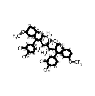 Cc1nc2ccc(OC(F)(F)F)cc2c(-c2ccc(Cl)c(Cl)c2)c1C(C)C(=O)C(C)c1c(C)nc2ccc(OC(F)(F)F)cc2c1-c1ccc(Cl)c(Cl)c1